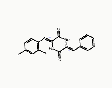 O=c1[nH]/c(=C\c2ccc(F)cc2F)c(=O)[nH]/c1=C\c1ccccc1